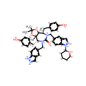 CC1(C)O[C@@H]2[C@@H](O1)[C@@H](Cc1ccc(O)cc1)N(Cc1ccc3c(cnn3C3CCCCO3)c1)C(=O)N(Cc1ccc3[nH]ncc3c1)[C@@H]2Cc1ccc(O)cc1